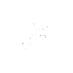 CC1=C(C(=O)O)C(c2cccc([N+](=O)[O-])c2)N(CCCN(C)C(=O)c2cccc(F)c2)C(=O)N1